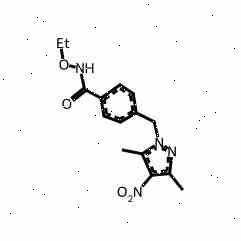 CCONC(=O)c1ccc(Cn2nc(C)c([N+](=O)[O-])c2C)cc1